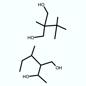 CC(C)(C)C(C)(CO)CO.CCC(C)C(CO)C(C)O